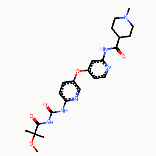 COC(C)(C)C(=O)NC(=O)Nc1ccc(Oc2ccnc(NC(=O)C3CCN(C)CC3)c2)cn1